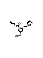 C=CCOC(=O)N1C[C@@H](SC(C)=O)C[C@H]1CCn1ccnc1